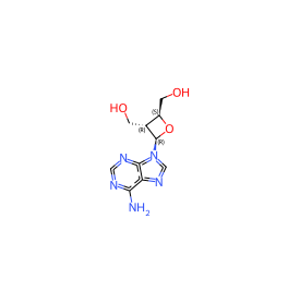 Nc1ncnc2c1ncn2[C@@H]1O[C@H](CO)[C@H]1CO